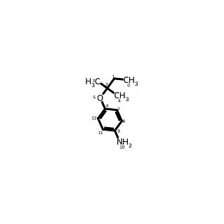 CCC(C)(C)Oc1ccc(N)cc1